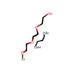 CCOCCOCCOCCO.COCCOC(C)=O